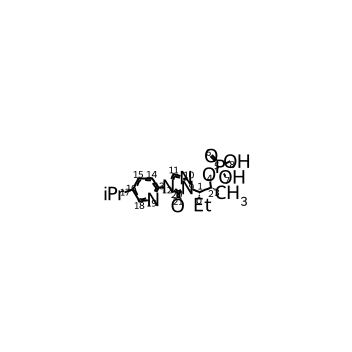 CC[C@@H]([C@@H](C)OP(=O)(O)O)n1ncn(-c2ccc(C(C)C)cn2)c1=O